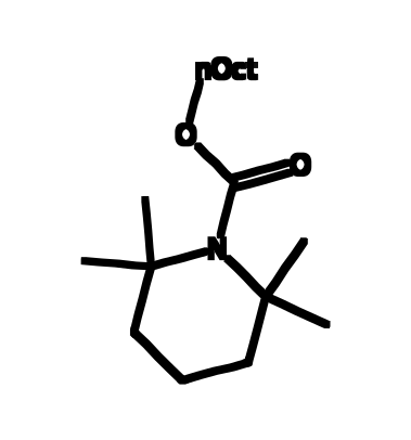 CCCCCCCCOC(=O)N1C(C)(C)CCCC1(C)C